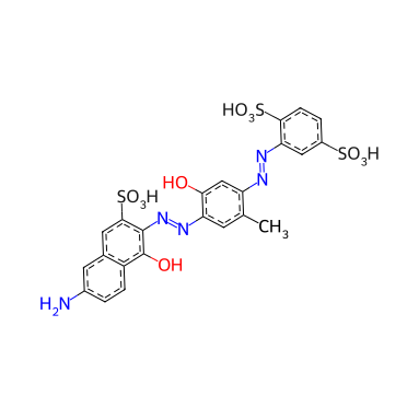 Cc1cc(N=Nc2c(S(=O)(=O)O)cc3cc(N)ccc3c2O)c(O)cc1N=Nc1cc(S(=O)(=O)O)ccc1S(=O)(=O)O